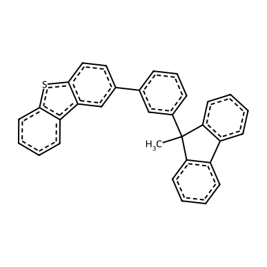 CC1(c2cccc(-c3ccc4sc5ccccc5c4c3)c2)c2ccccc2-c2ccccc21